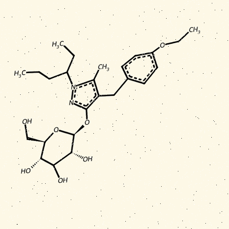 CCCC(CC)n1nc(O[C@@H]2O[C@H](CO)[C@@H](O)C(O)[C@H]2O)c(Cc2ccc(OCC)cc2)c1C